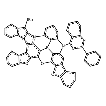 CC(C)(C)c1c2ccccc2n2c3c4c(oc5ccccc54)c4c5c3n(c12)-c1cccc2c1B5c1c(cc3c(oc5ccccc53)c1O4)N2c1nc(-c2ccccc2)nc2ccccc12